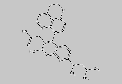 Cc1cc2nc(N(C)CC(C)C)ccc2c(-c2ccc3c4c(ccnc24)CCO3)c1CC(=O)O